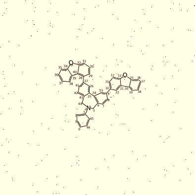 c1ccc(N2Cc3ccc(-c4ccc5oc6ccccc6c5c4)cc3-c3cc(-c4cccc5oc6ccccc6c45)ccc3C2)cc1